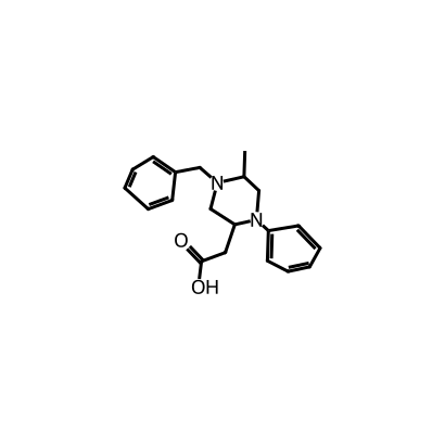 CC1CN(c2ccccc2)C(CC(=O)O)CN1Cc1ccccc1